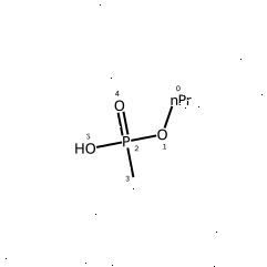 CCCOP(C)(=O)O